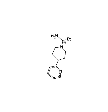 CC[C@@H](N)N1CCC(c2ccccn2)CC1